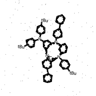 CC(C)(C)c1ccc(N(c2ccc(C(C)(C)C)cc2)c2cc3cc(c2)n2cc(c4cc(-c5ccccc5)ccc42)n(-c2ccc(C(C)(C)C)cc2)c2cccc(c2)n3-c2ccc(-c3ccccc3)cc2)cc1